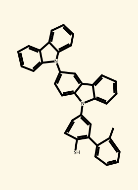 Cc1ccccc1-c1cc(-n2c3ccccc3c3cc(-n4c5ccccc5c5ccccc54)ccc32)ccc1S